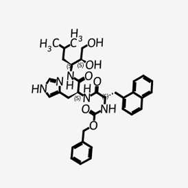 CC(C)C[C@H](NC(=O)[C@H](Cc1c[nH]cn1)NC(=O)[C@H](Cc1cccc2ccccc12)NC(=O)OCc1ccccc1)[C@H](O)CO